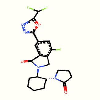 O=C1CCCN1[C@@H]1CCCC[C@H]1N1Cc2c(F)cc(-c3nnc(C(F)F)o3)cc2C1=O